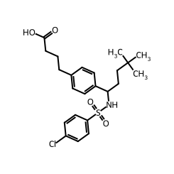 CC(C)(C)CCC(NS(=O)(=O)c1ccc(Cl)cc1)c1ccc(CCCC(=O)O)cc1